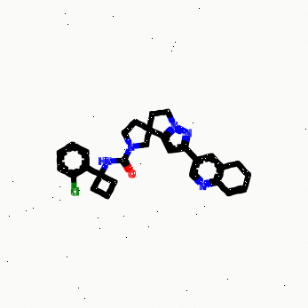 O=C(NC1(c2ccccc2Cl)CCC1)N1CCC2(CCn3nc(-c4cnc5c(c4)CCC=C5)cc32)C1